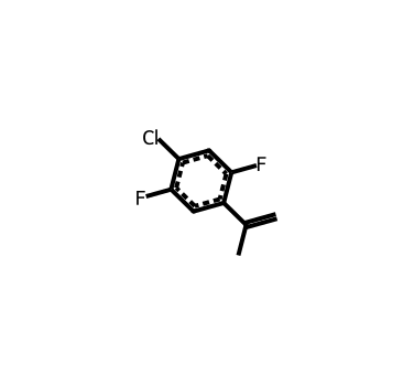 C=C(C)c1cc(F)c(Cl)cc1F